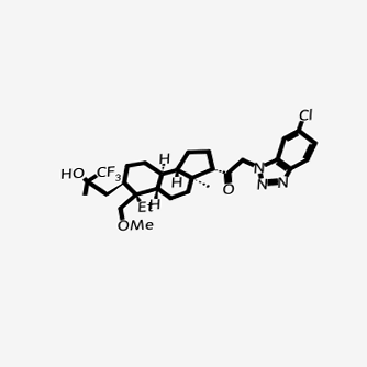 CC[C@@]1(COC)[C@@H](CC(C)(O)C(F)(F)F)CC[C@H]2[C@@H]3CC[C@H](C(=O)Cn4nnc5ccc(Cl)cc54)[C@@]3(C)CC[C@@H]21